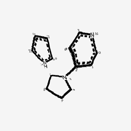 c1cc(N2CCCC2)ccn1.c1cc[nH]c1